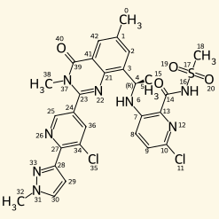 Cc1cc([C@@H](C)Nc2ccc(Cl)nc2C(=O)NS(C)(=O)=O)c2nc(-c3cnc(-c4ccn(C)n4)c(Cl)c3)n(C)c(=O)c2c1